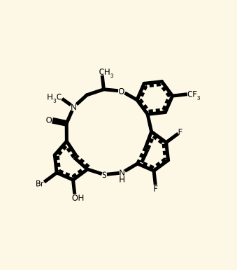 CC1CN(C)C(=O)c2cc(Br)c(O)c(c2)SNc2cc(c(F)cc2F)-c2cc(C(F)(F)F)ccc2O1